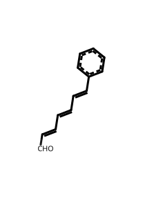 O=CC=CC=CC=Cc1ccccc1